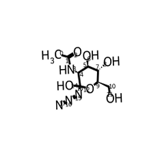 CC(=O)N[C@@H]1[C@@H](O)[C@H](O)[C@@H](CO)OC1(O)N=[N+]=[N-]